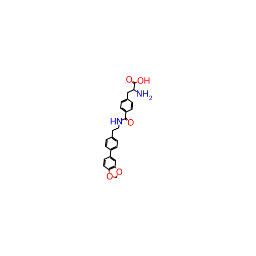 NC(Cc1ccc(C(=O)NCCc2ccc(-c3ccc4c(c3)OCO4)cc2)cc1)C(=O)O